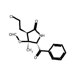 C[C@@]1(OC=O)[C@@H](C(=O)C2=C=C=CC=C2)NC(=O)[C@@H]1CCCl